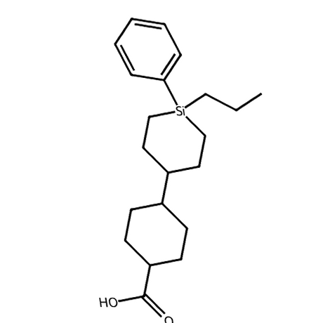 CCC[Si]1(c2ccccc2)CCC(C2CCC(C(=O)O)CC2)CC1